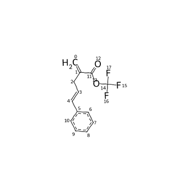 C=C(CC=Cc1ccccc1)C(=O)OC(F)(F)F